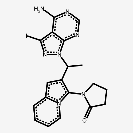 CC(c1cc2ccccn2c1N1CCCC1=O)n1nc(I)c2c(N)ncnc21